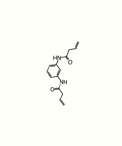 C=CCC(=O)Nc1cccc(NC(=O)CC=C)c1